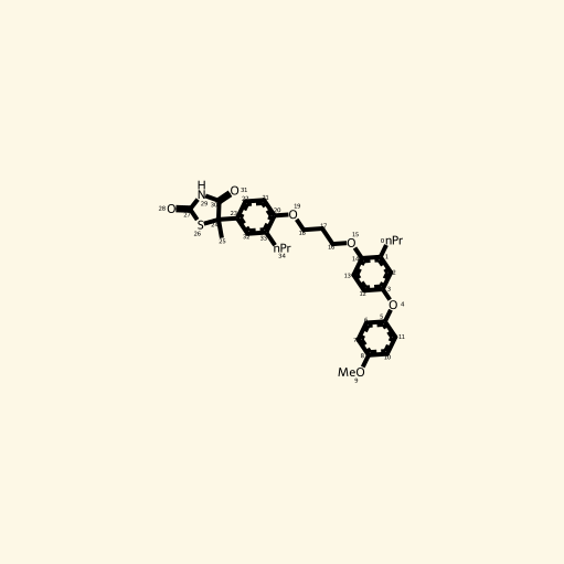 CCCc1cc(Oc2ccc(OC)cc2)ccc1OCCCOc1ccc(C2(C)SC(=O)NC2=O)cc1CCC